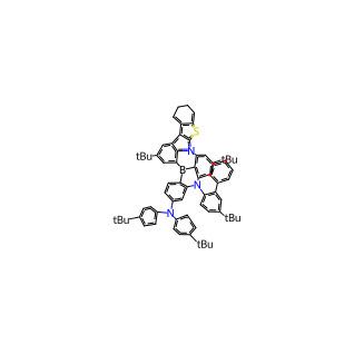 CC(C)(C)c1ccc(N(c2ccc(C(C)(C)C)cc2)c2ccc3c(c2)N(c2ccc(C(C)(C)C)cc2-c2ccccc2)c2cc(C(C)(C)C)cc4c2B3c2cc(C(C)(C)C)cc3c5c6c(sc5n-4c23)=CCCC=6)cc1